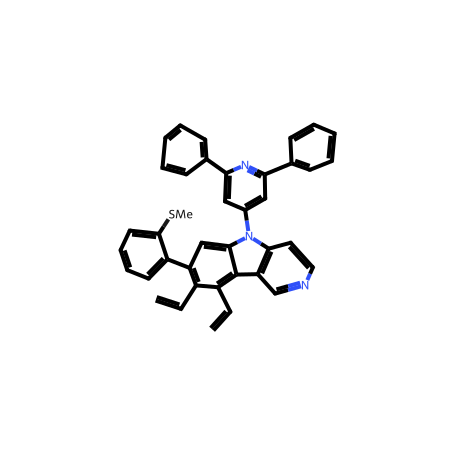 C=Cc1c(-c2ccccc2SC)cc2c(c1C=C)c1cnccc1n2-c1cc(-c2ccccc2)nc(-c2ccccc2)c1